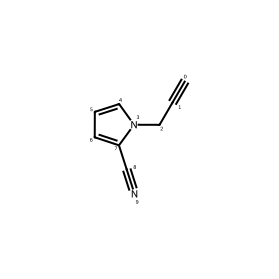 C#CCn1cccc1C#N